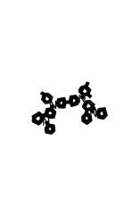 CC1=CC(C)C(N(C2=CC3c4ccccc4N(c4ccccc4)C3(C)C=C2)c2ccc(-c3ccc(N(c4ccc5c(c4)c4ccccc4n5-c4ccccc4)C4C=CC(C)=CC4)cc3)cc2)C#C1